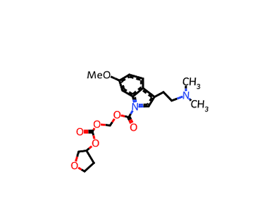 COc1ccc2c(CCN(C)C)cn(C(=O)OCOC(=O)OC3CCOC3)c2c1